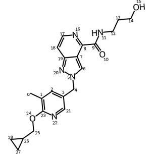 Cc1cc(Cn2cc3c(C(=O)NCCCO)nccc3n2)cnc1OCC1CC1